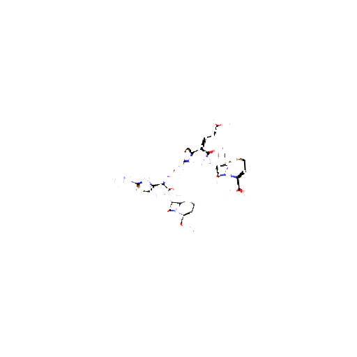 CO/N=C(\C(=O)N[C@@H]1C(=O)N2C(C(=O)[O-])=CCS[C@H]12)c1csc(N)n1.Nc1nc(/C(=C/CC(=O)O)C(=O)N[C@@H]2C(=O)N3C(C(=O)O)=CCS[C@H]23)cs1.[Na+]